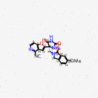 [C-]#[N+]c1nccc2oc([C@]3(CN4Cc5ccc(OC)cc5C4=O)NC(=O)NC3=O)cc12